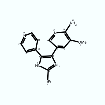 COc1cc(-c2nc(C(C)C)[nH]c2-c2ccncc2)cnc1N